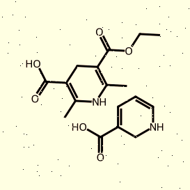 CCOC(=O)C1=C(C)NC(C)=C(C(=O)O)C1.O=C(O)C1=CC=CNC1